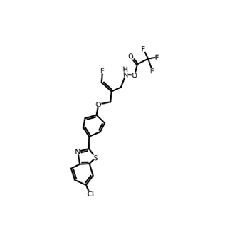 O=C(ONCC(=CF)COc1ccc(-c2nc3ccc(Cl)cc3s2)cc1)C(F)(F)F